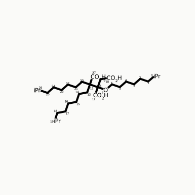 CC(C)CCCCCCOC(CC(=O)O)(C(=O)O)C(CCCCCCC(C)C)(CCCCCCC(C)C)C(=O)O